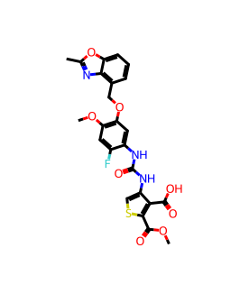 COC(=O)c1scc(NC(=O)Nc2cc(OCc3cccc4oc(C)nc34)c(OC)cc2F)c1C(=O)O